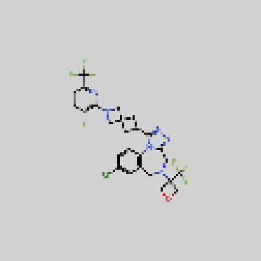 Fc1ccc(C(F)(F)F)nc1N1CC2(CC(c3nnc4n3-c3ccc(Cl)cc3CN(C3(C(F)(F)F)COC3)C4)C2)C1